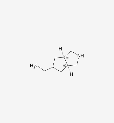 CCC1C[C@H]2CNC[C@H]2C1